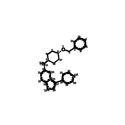 c1ccc(CO[C@H]2CC[C@H](Nc3ccc4ncc(-c5ccncc5)n4n3)CC2)cc1